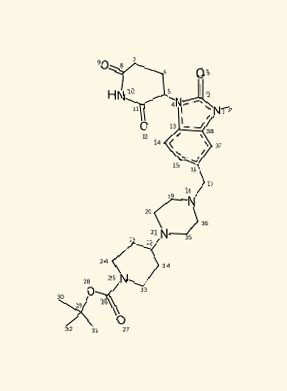 Cn1c(=O)n(C2CCC(=O)NC2=O)c2ccc(CN3CCN(C4CCN(C(=O)OC(C)(C)C)CC4)CC3)cc21